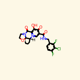 O=C(NCc1ccc(F)c(Cl)c1F)c1cn2c(c(O)c1=O)C(=O)N1CCO[C@@]13CCCC[C@@H]23